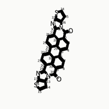 O=c1c2ccc3c4ccc5c(=O)n6c7ccsc7nc6c6ccc(c7ccc(c2c37)c2nc3sccc3n12)c4c56